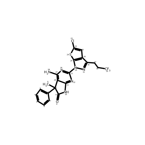 CC1(c2ccccc2)C(=O)Nc2nc(-n3nc(CCC(F)(F)F)c4cc(Cl)sc43)nc(N)c21